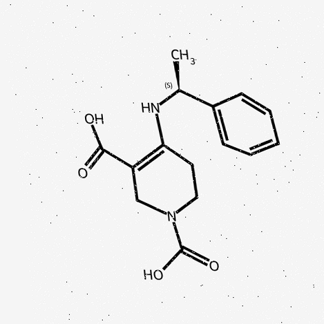 C[C@H](NC1=C(C(=O)O)CN(C(=O)O)CC1)c1ccccc1